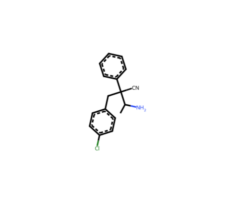 CC(N)C(C#N)(Cc1ccc(Cl)cc1)c1ccccc1